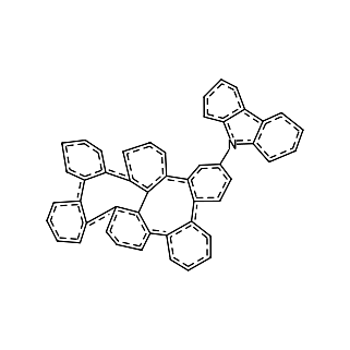 c1cc2c3c(c1)c1ccccc1c1ccc(-n4c5ccccc5c5ccccc54)cc1c1cccc(c1-3)c1ccccc1c1ccccc21